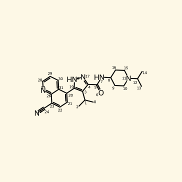 CC(C)c1c(C(=O)NC2CCN(C(C)C)CC2)n[nH]c1-c1ccc(C#N)c2ncccc12